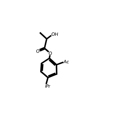 CC(=O)c1cc(C(C)C)ccc1OC(=O)C(C)O